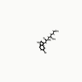 O=C(Cc1c[nH]c2ccc(Br)cc12)NCC(O)CCCO